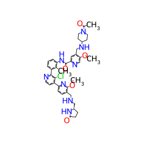 COc1cnc(C(=O)Nc2cccc(-c3nccc(-c4ccc(CNC[C@H]5CCC(=O)N5)c(OC)n4)c3Cl)c2C)cc1CNC1CCN(C(C)=O)CC1